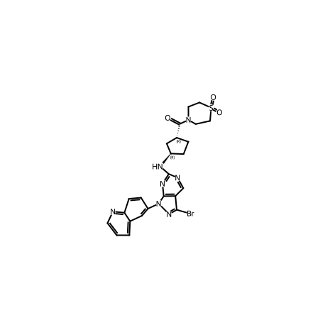 O=C([C@@H]1CC[C@@H](Nc2ncc3c(Br)nn(-c4ccc5ncccc5c4)c3n2)C1)N1CCS(=O)(=O)CC1